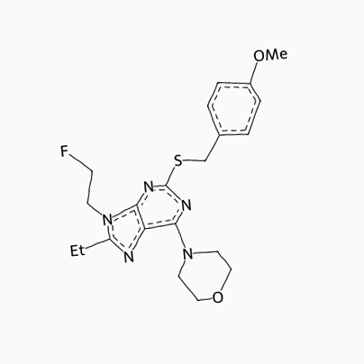 CCc1nc2c(N3CCOCC3)nc(SCc3ccc(OC)cc3)nc2n1CCF